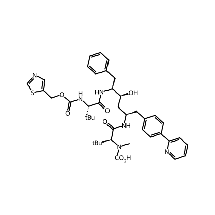 CN(C(=O)O)[C@H](C(=O)N[C@H](Cc1ccc(-c2ccccn2)cc1)C[C@H](O)[C@H](Cc1ccccc1)NC(=O)[C@@H](NC(=O)OCc1cncs1)C(C)(C)C)C(C)(C)C